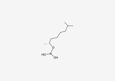 CC(C)CCCC[C@@H](C)ON(O)O